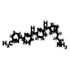 Cc1cccc(-c2nccc(Nc3ccnc(Nc4cnn(CCCN)c4)n3)n2)n1